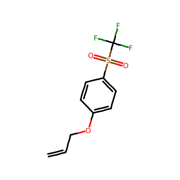 C=CCOc1ccc(S(=O)(=O)C(F)(F)F)cc1